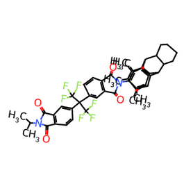 Cc1cc2c(c(C)c1C)C1c3c(cc(C)c(N4C(=O)c5ccc(C(c6ccc7c(c6)C(=O)N(C(C)C)C7=O)(C(F)(F)F)C(F)(F)F)cc5C4=O)c3C)C2C2CCCCC12